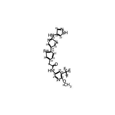 COc1ncc(NC(=O)Cc2ccc(-c3cnc(Nc4cn[nH]c4)nc3)c(F)c2)cc1C(F)(F)F